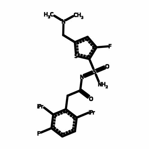 CC(C)c1ccc(F)c(C(C)C)c1CC(=O)N=S(N)(=O)c1sc(CN(C)C)cc1F